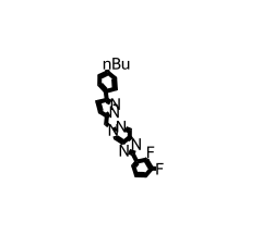 CCCCc1ccc(-c2ccc(Cn3cc4nc(-c5cccc(F)c5F)nc-4cn3)nn2)cc1